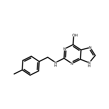 Cc1ccc(CNc2nc(O)c3nc[nH]c3n2)cc1